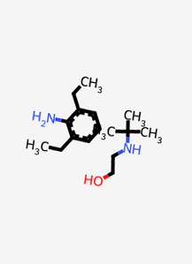 CC(C)(C)NCCO.CCc1cccc(CC)c1N